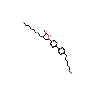 CCCCCCCCC1CC(c2ccc(-c3ccc(CCCCCCC)cc3)cc2)OC1=O